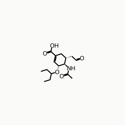 CCC(CC)O[C@@H]1C=C(C(=O)O)C[C@H](CC=O)[C@H]1NC(C)=O